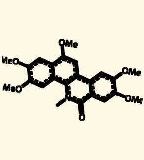 COc1cc2c(OC)cc3c4cc(OC)c(OC)cc4c(=O)n(C)c3c2cc1OC